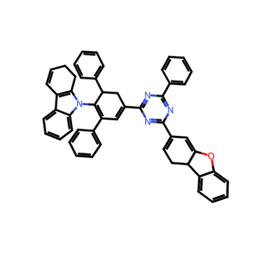 C1=Cc2c(n(C3=C(c4ccccc4)C=C(c4nc(C5=CCC6C(=C5)Oc5ccccc56)nc(-c5ccccc5)n4)CC3c3ccccc3)c3ccccc23)CC1